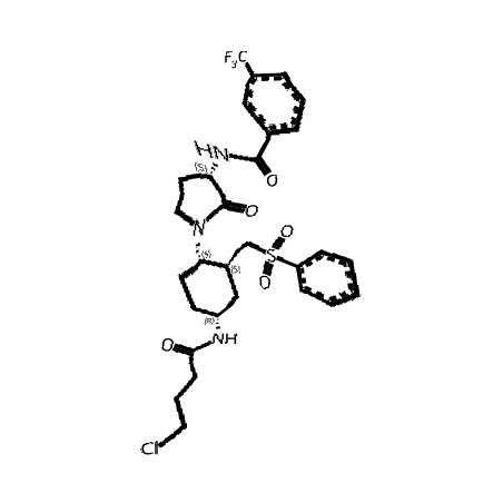 O=C(CCCCl)N[C@@H]1CC[C@H](N2CC[C@H](NC(=O)c3cccc(C(F)(F)F)c3)C2=O)[C@@H](CS(=O)(=O)c2ccccc2)C1